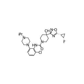 CC(C)N1CCN(c2cccc(Cl)c2NC(=O)N2CCC(C)(c3noc([C@@H]4C[C@@H]4F)n3)CC2)CC1